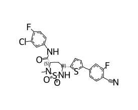 CN1[C@H](C(=O)Nc2ccc(F)c(Cl)c2)C[C@H](c2ccc(-c3ccc(C#N)c(F)c3)s2)NS1(=O)=O